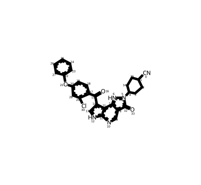 N#CC1CCC(n2[nH]c3c(cnc4[nH]cc(C(=O)c5ccc(Oc6ccccc6)cc5Cl)c43)c2=O)CC1